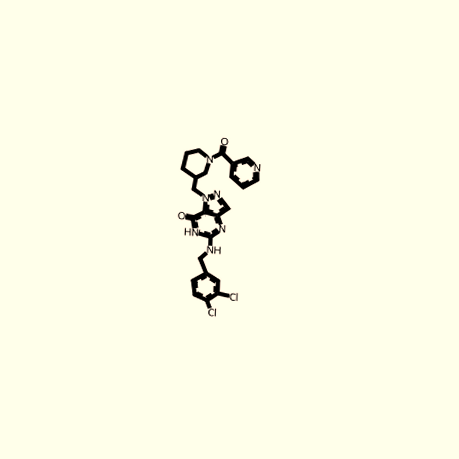 O=C(c1cccnc1)N1CCCC(Cn2ncc3nc(NCc4ccc(Cl)c(Cl)c4)[nH]c(=O)c32)C1